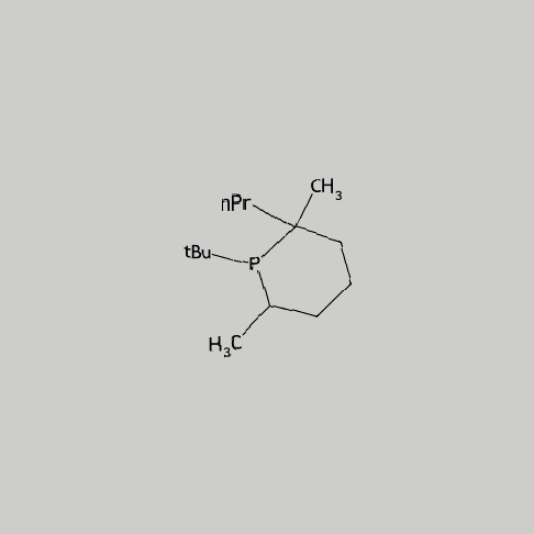 CCCC1(C)CCCC(C)P1C(C)(C)C